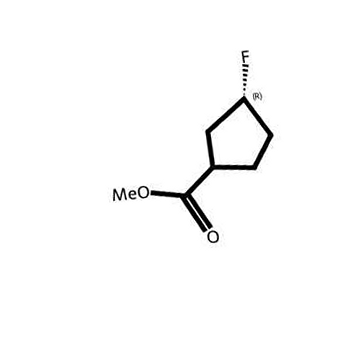 COC(=O)C1CC[C@@H](F)C1